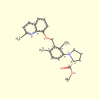 Cc1ccc2cccc(OCc3c(C)ccc(N4CCC[C@@H]4C(=O)OC(C)(C)C)c3C)c2n1